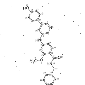 COc1cc(Nc2cncc(-c3ccc(O)cc3)n2)ccc1C(=O)NCc1ccccn1